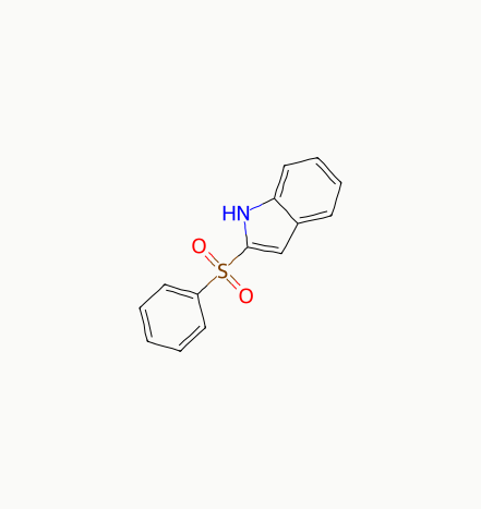 O=S(=O)(c1ccccc1)c1cc2ccccc2[nH]1